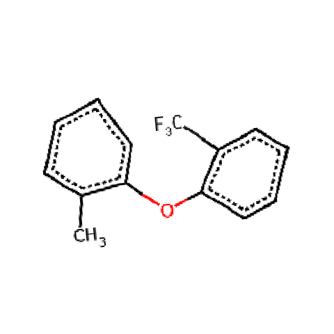 Cc1ccccc1Oc1ccccc1C(F)(F)F